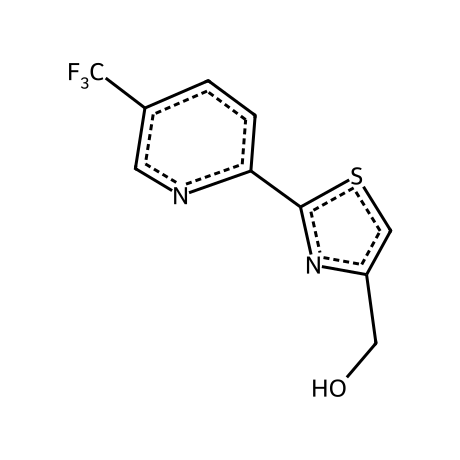 OCc1csc(-c2ccc(C(F)(F)F)cn2)n1